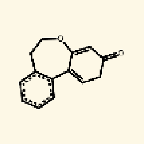 O=C1C=C2OCCc3ccccc3C2=CC1